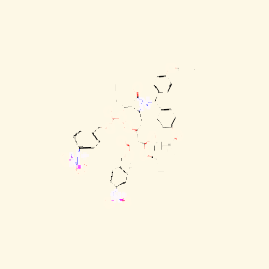 COc1ccc(C(c2ccc(OC)cc2)N2C(=O)C(C(C)OC(=O)OCc3ccc([N+](=O)[O-])cc3)C2CC(=O)C(C(=O)OCc2ccc([N+](=O)[O-])cc2)C(=O)OC(C)(C)C)cc1